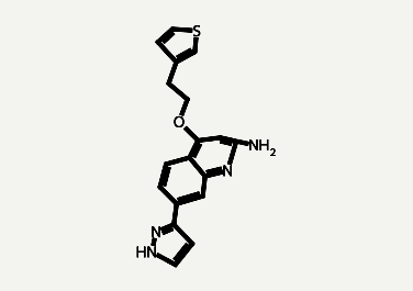 Nc1cc(OCCc2ccsc2)c2ccc(-c3cc[nH]n3)cc2n1